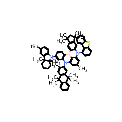 Cc1cc2c3c(c1)N(c1cccc4sc5ccccc5c14)c1cc4c(cc1B3c1ccc(N3c5ccc(C(C)(C)C)cc5C5(C)CCCCC35C)cc1N2c1cc2c(cc1C)C(C)(C)c1ccccc1C2(C)C)C(C)(C)CC4(C)C